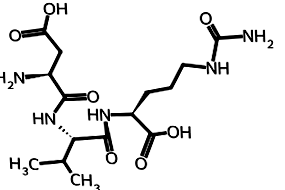 CC(C)[C@H](NC(=O)[C@@H](N)CC(=O)O)C(=O)N[C@@H](CCCNC(N)=O)C(=O)O